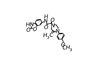 COCc1ccc(N2CCN(C(=O)C(=O)Nc3ccc4[nH]c(=O)oc4c3)C[C@H]2C)cc1